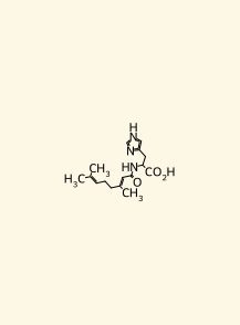 CC(C)=CCC/C(C)=C/C(=O)NC(Cc1c[nH]cn1)C(=O)O